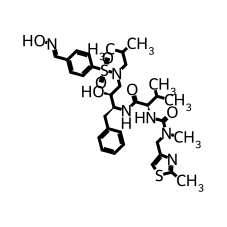 Cc1nc(CN(C)C(=O)N[C@H](C(=O)N[C@@H](Cc2ccccc2)[C@@H](O)CN(CC(C)C)S(=O)(=O)c2ccc(C=NO)cc2)C(C)C)cs1